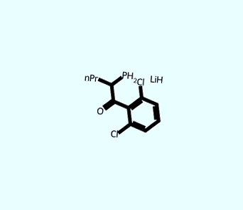 [CH2]CCC(P)C(=O)c1c(Cl)cccc1Cl.[LiH]